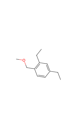 CCc1ccc(COC)c(CC)c1